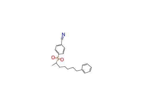 CC(CCCCCc1ccccc1)S(=O)(=O)c1ccc(C#N)cc1